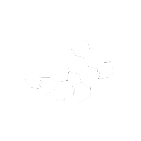 O=C1C(c2cc3c(cc2O)OCO3)c2ccccc2N1C(c1ccccc1)c1ccccc1